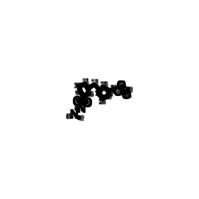 CN(C)/C=N/S(=O)(=O)c1cccc(Cc2cccc(COS(C)(=O)=O)c2)c1